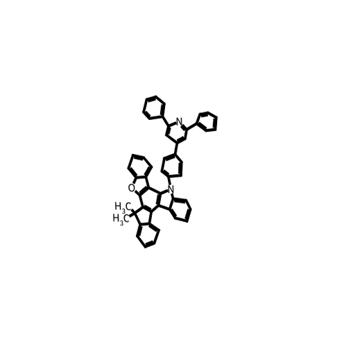 CC1(C)c2ccccc2-c2c1c1oc3ccccc3c1c1c2c2ccccc2n1-c1ccc(-c2cc(-c3ccccc3)nc(-c3ccccc3)c2)cc1